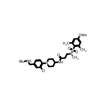 COc1cc(C)c(S(=O)(=O)N(C)CCC(=O)NC2CCN(c3ccc(CNC(C)(C)C)cc3Cl)CC2)c(C)c1